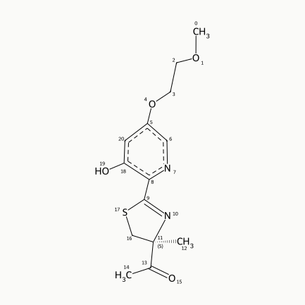 COCCOc1cnc(C2=N[C@@](C)(C(C)=O)CS2)c(O)c1